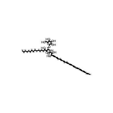 CC#CC#CC#CC#CC#CC#CC#CC#CC#CC#CC#C[C@@H](O)[C@@H](O)C(=O)N[C@@H](COC1OC(CO)C(O)C(O)C1O)[C@H](O)[C@H](O)CCCCCCCCCCCCCC